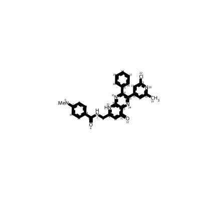 CNc1ccc(C(=O)NCc2cc(=O)c3nc(-c4cc(C)nc(Cl)c4)c(-c4ccccc4)nc3[nH]2)cc1